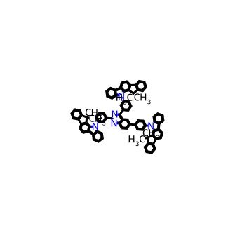 CC1(C)c2ccccc2-c2ccc3c4ccccc4n(-c4ccc(-c5ccc6nc(-c7cccc(-n8c9ccccc9c9ccc%10c(c98)C(C)(C)c8ccccc8-%10)c7)nc(-c7cccc(-n8c9ccccc9c9ccc%10c(c98)C(C)(C)c8ccccc8-%10)c7)c6c5)cc4)c3c21